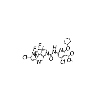 COC(=O)c1c(Cl)cc(NC(=O)N2C[C@@](C)(C(F)(F)F)c3c2cnc2cc(Cl)nn32)nc1OC1CCCC1